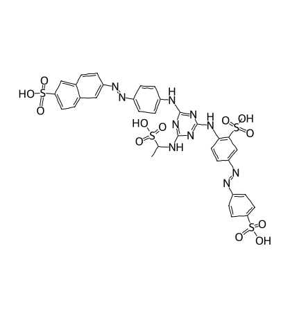 CC(Nc1nc(Nc2ccc(N=Nc3ccc4cc(S(=O)(=O)O)ccc4c3)cc2)nc(Nc2ccc(N=Nc3ccc(S(=O)(=O)O)cc3)cc2S(=O)(=O)O)n1)S(=O)(=O)O